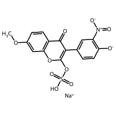 COc1ccc2c(=O)c(-c3ccc([O-])c([N+](=O)[O-])c3)c(OS(=O)(=O)O)oc2c1.[Na+]